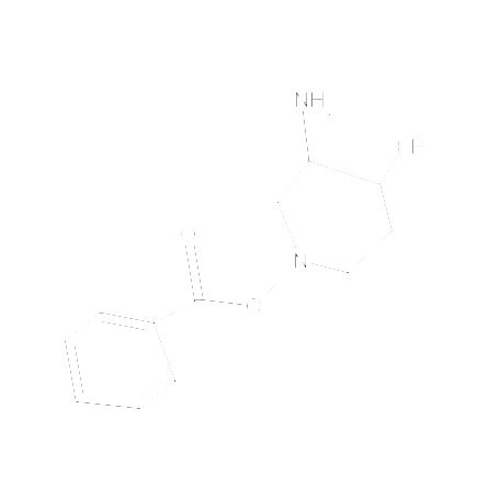 CC1CCN(OC(=O)c2ccccc2)CC1N